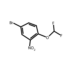 O=[N+]([O-])c1cc(Br)ccc1OC(F)F